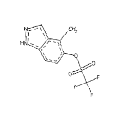 Cc1c(OS(=O)(=O)C(F)(F)F)ccc2[nH]ncc12